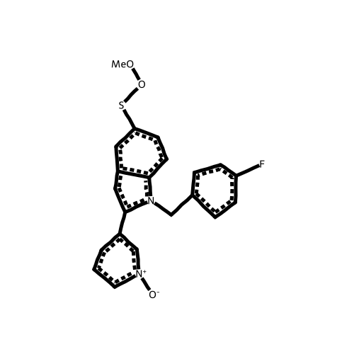 COOSc1ccc2c(c1)cc(-c1ccc[n+]([O-])c1)n2Cc1ccc(F)cc1